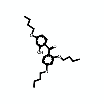 CCCCOc1ccc(C(=O)c2ccc(OCCCC)cc2OCCCC)c(O)c1